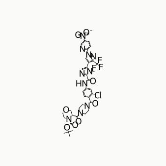 Cn1c(-c2cn(-c3ccc([N+](=O)[O-])cn3)nc2C(F)(F)F)cnc1C(=O)Nc1ccc(C(=O)N2CCN(C(=O)[C@@H]3COCCN3C(=O)OC(C)(C)C)CC2)c(Cl)c1